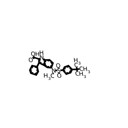 CN(c1ccc2[nH]c(C(=O)O)c(-c3ccccc3)c2c1)S(=O)(=O)c1ccc(C(C)(C)C)cc1